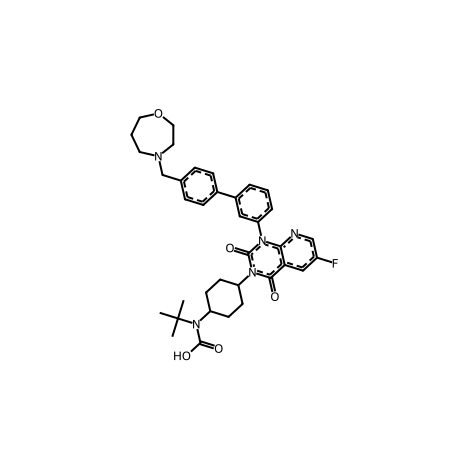 CC(C)(C)N(C(=O)O)C1CCC(n2c(=O)c3cc(F)cnc3n(-c3cccc(-c4ccc(CN5CCCOCC5)cc4)c3)c2=O)CC1